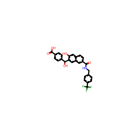 O=C(O)c1ccc(C(O)c2cc3cc(C(=O)NCc4ccc(C(F)(F)F)cc4)ccc3cc2O)cc1